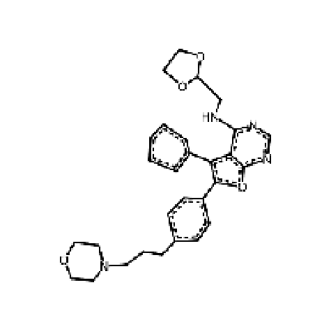 c1ccc(-c2c(-c3ccc(CCCN4CCOCC4)cc3)oc3ncnc(NCC4OCCO4)c23)cc1